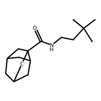 CC(C)(C)CCNC(=O)C12CC3CC(CC1C3)C2